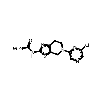 CNC(=O)Nc1nc2c(s1)CN(c1cncc(Cl)n1)CC2